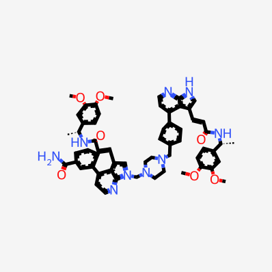 COc1ccc([C@@H](C)NC(=O)/C=C/c2c[nH]c3nccc(-c4ccc(CN5CCN(Cn6cc(/C=C/C(=O)N[C@H](C)c7ccc(OC)c(OC)c7)c7c(-c8cccc(C(N)=O)c8)ccnc76)CC5)cc4)c23)cc1OC